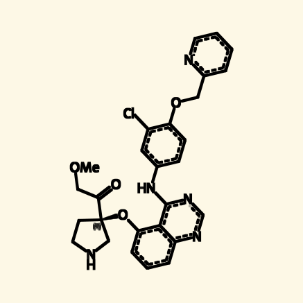 COCC(=O)[C@@]1(Oc2cccc3ncnc(Nc4ccc(OCc5ccccn5)c(Cl)c4)c23)CCNC1